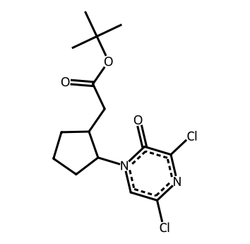 CC(C)(C)OC(=O)CC1CCCC1n1cc(Cl)nc(Cl)c1=O